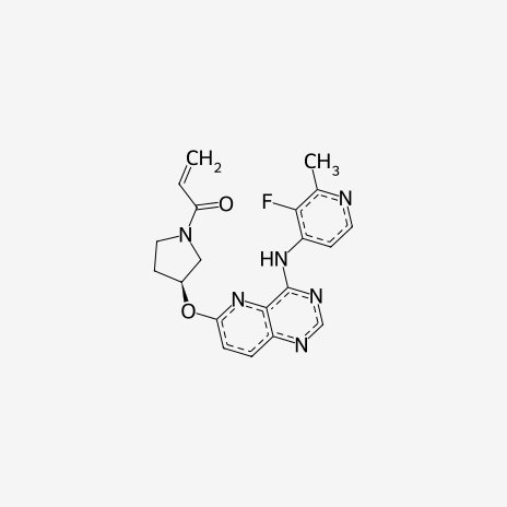 C=CC(=O)N1CC[C@H](Oc2ccc3ncnc(Nc4ccnc(C)c4F)c3n2)C1